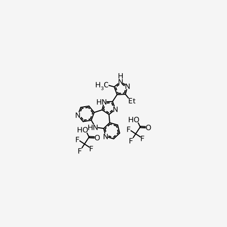 CCc1n[nH]c(C)c1-c1nc2c([nH]1)-c1ccncc1Nc1ncccc1-2.O=C(O)C(F)(F)F.O=C(O)C(F)(F)F